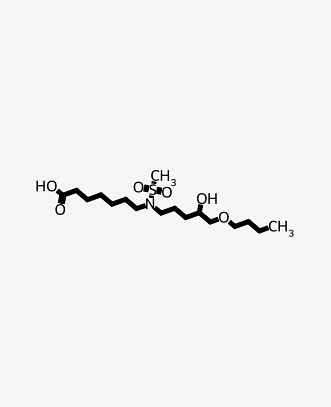 CCCCOCC(O)CCCN(CCCCCCC(=O)O)S(C)(=O)=O